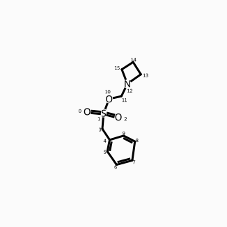 O=S(=O)(Cc1ccccc1)OCN1CCC1